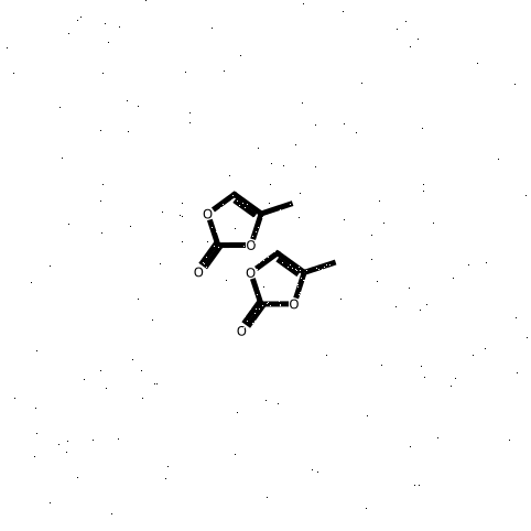 Cc1coc(=O)o1.Cc1coc(=O)o1